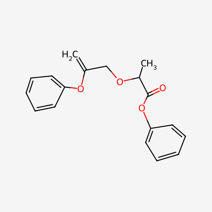 C=C(COC(C)C(=O)Oc1ccccc1)Oc1ccccc1